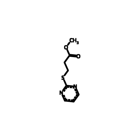 COC(=O)CCSc1ncccn1